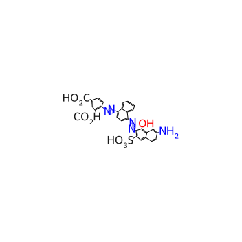 Nc1ccc2cc(S(=O)(=O)O)c(/N=N/c3ccc(/N=N/c4ccc(C(=O)O)cc4C(=O)O)c4ccccc34)c(O)c2c1